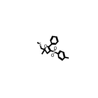 CSCC1(C)CC(S(=O)(=O)c2ccc(C)cc2)=C(c2ccccc2)O1